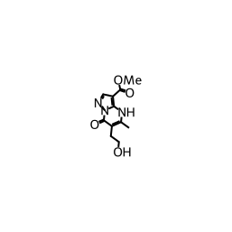 COC(=O)c1cnn2c(=O)c(CCO)c(C)[nH]c12